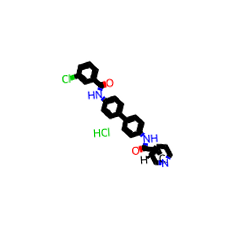 Cl.O=C(Nc1ccc(-c2ccc(NC(=O)[C@H]3CN4CCC3CC4)cc2)cc1)c1cccc(Cl)c1